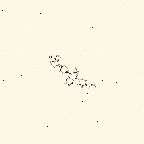 COc1ccc(C(=O)c2ccccc2C(C2CO2)N2CCN(C(=O)OC(C)(C)C)CC2)cc1